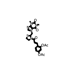 CC(=O)Oc1ccc(C=CC(=O)N2CCSC2Cn2cnc3c2c(=O)n(C)c(=O)n3C)c(OC(C)=O)c1